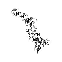 Cc1c(-c2nc3cc(CN4CCC[C@H]4C(=O)O)c(OC(F)F)cc3o2)cccc1-c1cccc(NC(=O)c2nc3c(n2C)CCN(CCN2CCOCC2)C3)c1Cl